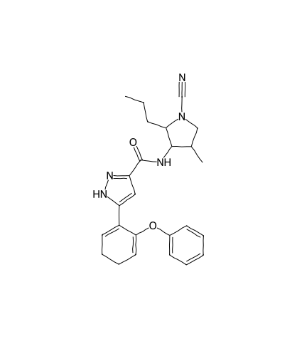 CCCC1C(NC(=O)c2cc(C3=CCCC=C3Oc3ccccc3)[nH]n2)C(C)CN1C#N